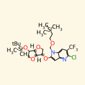 CC(C)(C)[Si](C)(C)OC1CO[C@H]2[C@@H]1OC[C@H]2Oc1cc2nc(Cl)c(C(F)(F)F)cc2n1COCC[Si](C)(C)C